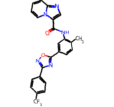 Cc1ccc(-c2nc(-c3ccc(C(F)(F)F)cc3)no2)cc1NC(=O)c1cnc2ccccn12